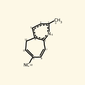 Cc1ccc2c(n1)C=CC(C#N)=CC2